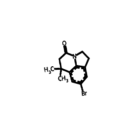 CC1(C)CC(=O)N2CCc3cc(Br)cc1c32